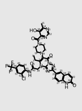 CCc1c(N2CCN(C(=O)c3ncnc(C)c3O)CC2)c(=O)n2nc(-c3ccc4[nH]c(=O)ccc4c3)nc2n1CC(=O)Nc1ccc(C(F)(F)F)cc1Cl